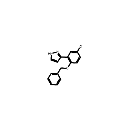 Clc1ccc(OCc2ccccc2)c(-c2cc[nH]n2)c1